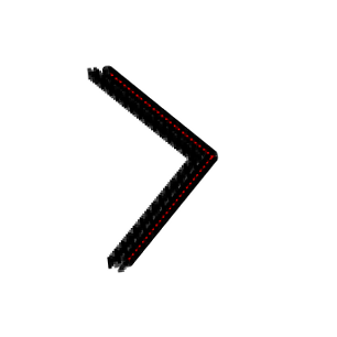 O.O.O.O.O.O.O.O.O.O.O.O.O.O.O.O.O.O.O.O.O.O.O.O.O.O.O.O.O.O.O.O.O.O.O.O.O.O.O.O.O.O.O.O.O.O.O.O.O.O.O.O.O.O.O.O.O.O.O.O.O.O.O.O.O.O.O.O.O.O.O.O.O.O.O.O.O.O.O.O.O.O.O.O.O.O.O.O.O.O.O.O.O.O.O.O.O.O.O.O.O